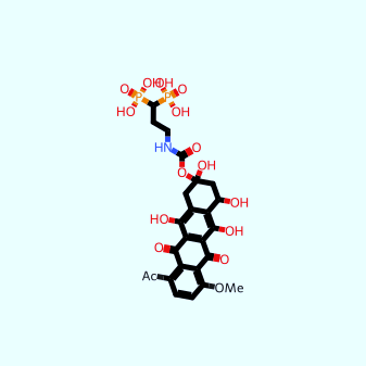 COc1ccc(C(C)=O)c2c1C(=O)c1c(O)c3c(c(O)c1C2=O)CC(O)(OC(=O)NCCC(P(=O)(O)O)P(=O)(O)O)CC3O